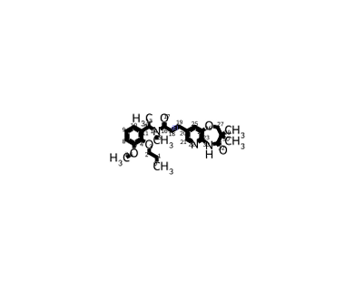 CCCOc1c(OC)cccc1[C@@H](C)N(C)C(=O)/C=C/c1cnc2c(c1)OCC(C)(C)C(=O)N2